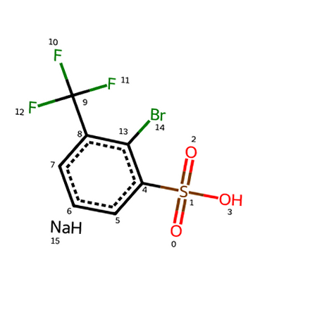 O=S(=O)(O)c1cccc(C(F)(F)F)c1Br.[NaH]